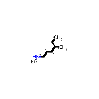 C=CC(C)=CC=CNCC